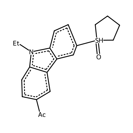 CCn1c2ccc(C(C)=O)cc2c2cc([SH]3(=O)CCCC3)ccc21